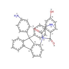 Nc1ccc(C2(c3ccc(N)cc3)c3ccccc3-c3cccc(N4C(=O)c5ccc(O)cc5C4=O)c32)cc1